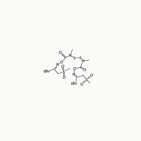 CN(SSN(C)C(=O)ON=C(CS(C)(=O)=O)C(C)(C)C)C(=O)ON=C(CS(C)(=O)=O)C(C)(C)C